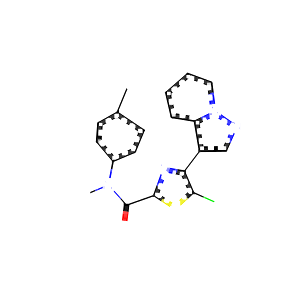 Cc1ccc(N(C)C(=O)c2nc(-c3cnn4ccccc34)c(Cl)s2)cc1